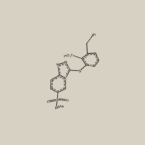 CNS(=O)(=O)c1ccc2nnc(Sc3cccc(CC(C)C)c3C(=O)O)n2c1